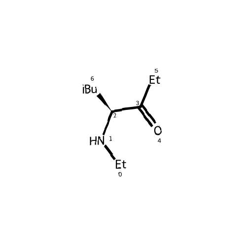 CCN[C@H](C(=O)CC)C(C)CC